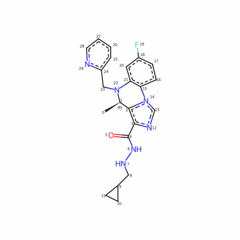 C[C@@H]1c2c(C(=O)NNCC3CC3)ncn2-c2ccc(F)cc2N1Cc1ccccn1